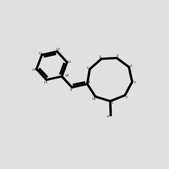 CC1CCCCCCC(=Cc2ccccc2)C1